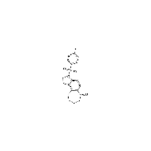 Cc1ccc(S(=O)(=O)n2ccc3c4c(ccc32)C(=O)CCCC4)cc1